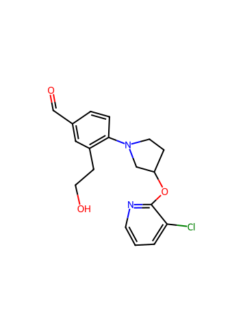 O=Cc1ccc(N2CCC(Oc3ncccc3Cl)C2)c(CCO)c1